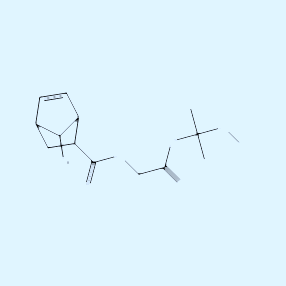 CCOC(C)(C)OC(=O)COC(=O)C1CC2C=CC1C2O